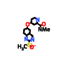 CNC(=O)c1cc(Oc2ccc3nc([S+](C)[O-])ncc3c2)ccn1